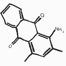 Cc1cc(C)c2c(c1N)C(=O)c1ccccc1C2=O